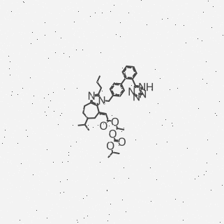 CCCc1nc2c(n1Cc1ccc(-c3ccccc3-c3nnn[nH]3)cc1)C(=CC(=O)OC(C)OC(=O)OC(C)C)CC(C(C)C)CC2